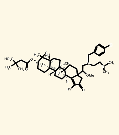 COC(CN(CCN(C)C)Cc1ccc(Cl)cc1)C12CC[C@]3(C)[C@H](CC[C@@H]4[C@@]5(C)CC[C@H](OC(=O)CC(C)(C)C(=O)O)C(C)(C)[C@@H]5CC[C@]43C)C1=C(C(C)C)C(=O)C2